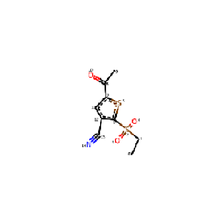 CCS(=O)(=O)c1sc(C(C)=O)cc1C#N